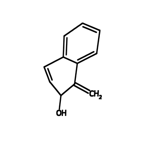 C=C1c2ccccc2C=CC1O